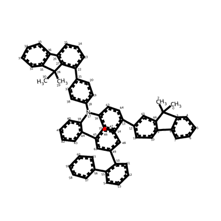 CC1(C)c2ccccc2-c2ccc(-c3ccc(N(c4ccc(-c5cccc6c5C(C)(C)c5ccccc5-6)cc4)c4ccccc4-c4cccc(-c5ccccc5-c5ccccc5)c4)cc3)cc21